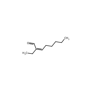 CCCCC/C=C(\[C]=O)CC